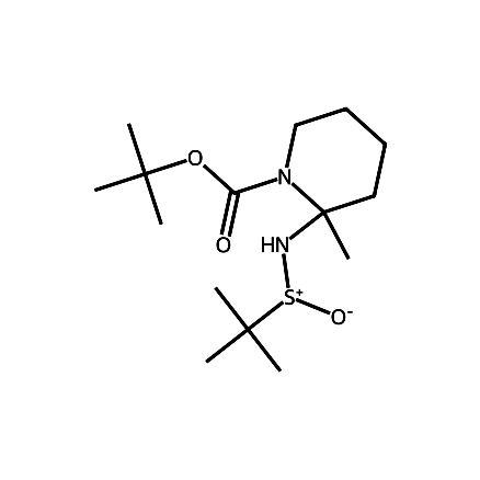 CC(C)(C)OC(=O)N1CCCCC1(C)N[S+]([O-])C(C)(C)C